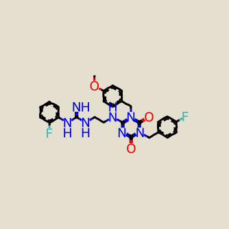 COc1ccc(Cn2c(NCCNC(=N)Nc3ccccc3F)nc(=O)n(Cc3ccc(F)cc3)c2=O)cc1